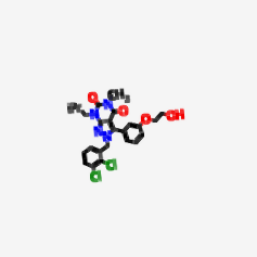 CC(C)Cn1c(=O)n(C)c(=O)c2c(-c3cccc(OCCO)c3)n(Cc3cccc(Cl)c3Cl)nc21